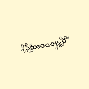 CCC(=O)CCC(C(N)=O)N1C(=O)c2cc3c(cc2C1=O)CN(C1CCN(C2CCN(c4ccc(C(=O)N[C@H]5C(C)(C)[C@H](Oc6ccc(C#N)c(Cl)c6)C5(C)C)cc4)CC2)CC1)C3